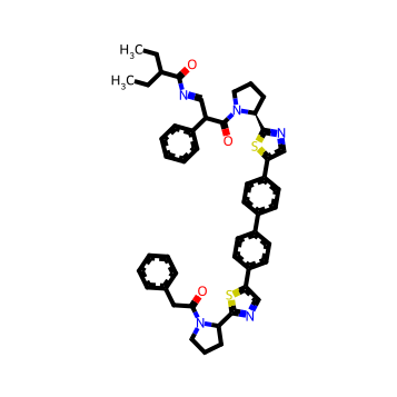 CCC(CC)C(=O)/N=C/C(C(=O)N1CCC[C@H]1c1ncc(-c2ccc(-c3ccc(-c4cnc(C5CCCN5C(=O)Cc5ccccc5)s4)cc3)cc2)s1)c1ccccc1